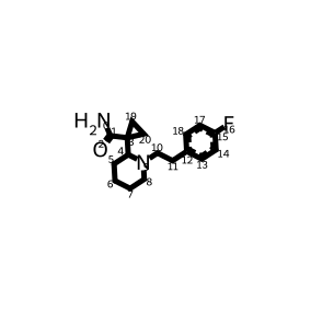 NC(=O)C1(C2CCCCN2CCc2ccc(F)cc2)CC1